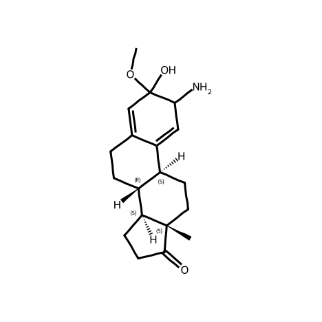 COC1(O)C=C2CC[C@@H]3[C@H](CC[C@]4(C)C(=O)CC[C@@H]34)C2=CC1N